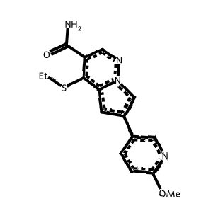 CCSc1c(C(N)=O)cnn2cc(-c3ccc(OC)nc3)cc12